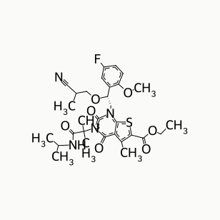 CCOC(=O)c1sc2c(c1C)c(=O)n(C(C)(C)C(=O)NC(C)C)c(=O)n2C[C@H](OCC(C)C#N)c1cc(F)ccc1OC